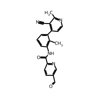 Cc1nccc(-c2cccc(NC(=O)c3ccc(C=O)cn3)c2C)c1C#N